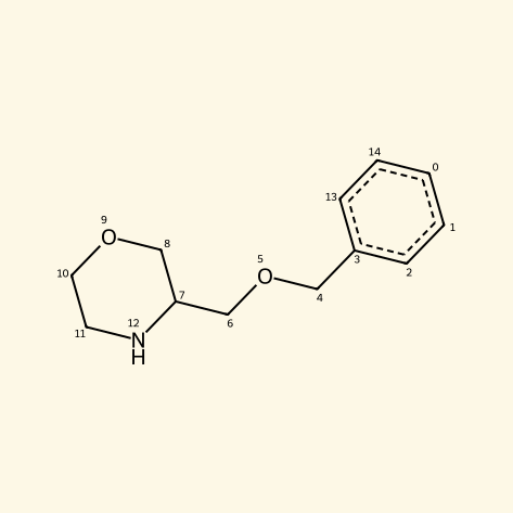 c1ccc(COCC2COCCN2)cc1